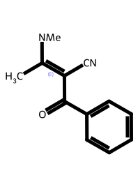 CN/C(C)=C(\C#N)C(=O)c1ccccc1